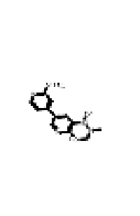 CC(=O)Nc1cc(-c2cnc3c(c2)[S+]([O-])N(C)CN3)ccn1